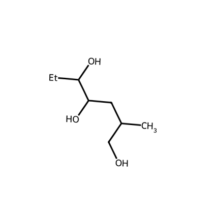 CCC(O)C(O)CC(C)CO